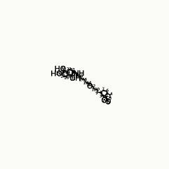 O=S1(=O)CCc2ccc(CCCCOCCCCCCN[C@@H]3CCc4c(ccc(O)c4O)[C@H]3O)cc21